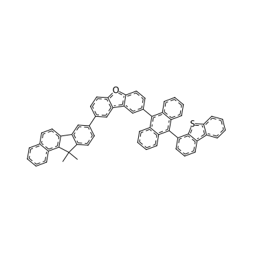 CC1(C)c2ccc(-c3ccc4oc5ccc(-c6c7ccccc7c(-c7cccc8c7sc7ccccc78)c7ccccc67)cc5c4c3)cc2-c2ccc3ccccc3c21